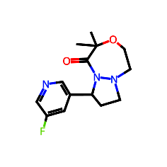 CC1(C)OCCN2CCC(c3cncc(F)c3)N2C1=O